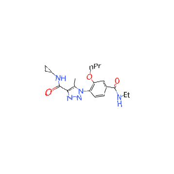 CCCOc1cc(C(=O)NCC)ccc1-n1nnc(C(=O)NC2CC2)c1C